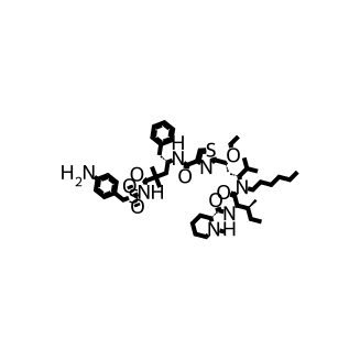 CCCCCCN(C(=O)[C@@H](NC(=O)[C@H]1CCCCN1C)[C@@H](C)CC)[C@H](C[C@@H](OCC)c1nc(C(=O)N[C@@H](Cc2ccccc2)CC(C)(C)C(=O)NS(=O)(=O)Cc2ccc(N)cc2)cs1)C(C)C